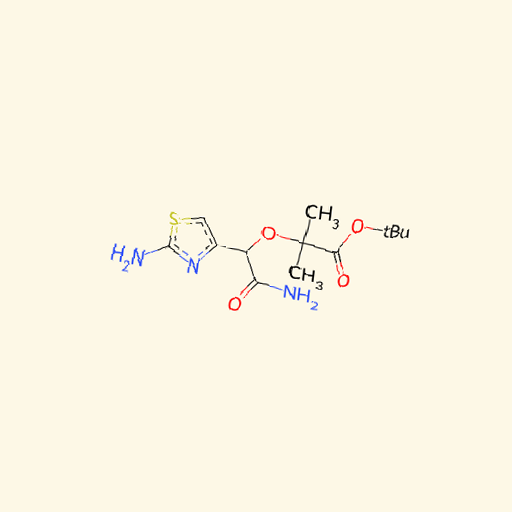 CC(C)(C)OC(=O)C(C)(C)OC(C(N)=O)c1csc(N)n1